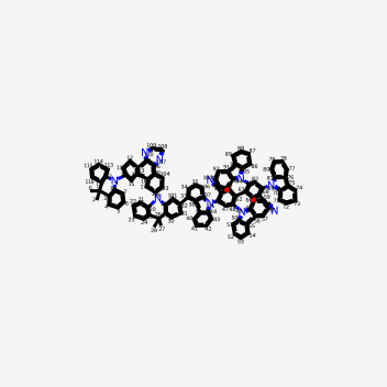 CC1(C)c2ccccc2N(c2ccc3c(c2)c2cc(N4c5ccccc5C(C)(C)c5ccc(-c6cccc7c6c6ccccc6n7-c6cc(-n7c8ccccc8c8ccccc87)c(-c7cc(C#N)c(-n8c9ccccc9c9ccccc98)cc7-n7c8ccccc8c8ccccc87)cc6C#N)cc54)ccc2c2nccnc32)c2ccccc21